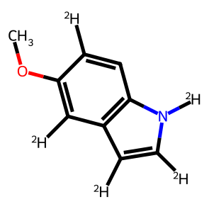 [2H]c1cc2c(c([2H])c1OC)c([2H])c([2H])n2[2H]